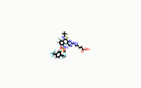 CC(C)(C)c1nc(-c2c(F)ccc(NS(=O)(=O)c3cc(C(F)(F)F)ccc3C(F)(F)F)c2F)c(-c2ccnc(NCCCCC(=O)O)n2)s1